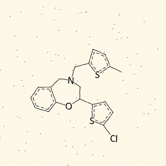 Cc1ccc(CN2Cc3ccccc3OC(c3ccc(Cl)s3)C2)s1